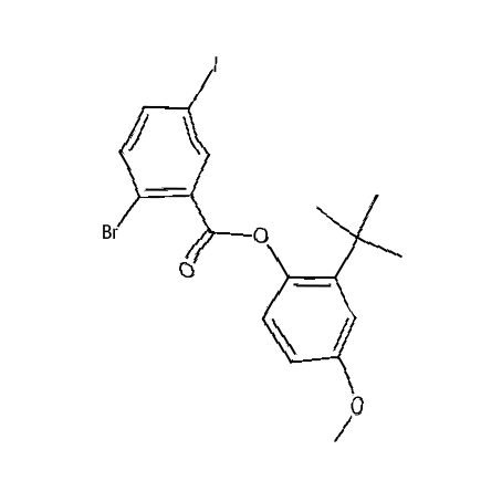 COc1ccc(OC(=O)c2cc(I)ccc2Br)c(C(C)(C)C)c1